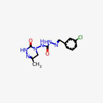 CC1=NNC(=O)N(NC(=O)N/N=C/c2cccc(Cl)c2)C1